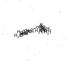 COC(=O)NC(C)C(=O)N1CCC[C@H]1c1ncc(-c2ccc(C#Cc3ccc(-c4cnc([C@@H]5CCCN5C(=O)[C@@H](C(C)C)N(C)C)[nH]4)cc3)cc2)[nH]1